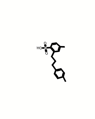 Cc1ccc(CCCc2cc(C)ccc2S(=O)(=O)O)cc1